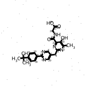 Cc1nc(Cc2cnc(-c3ccc(C(C)(C)C)cc3)nc2)nc(C(=O)NCC(=O)O)c1O